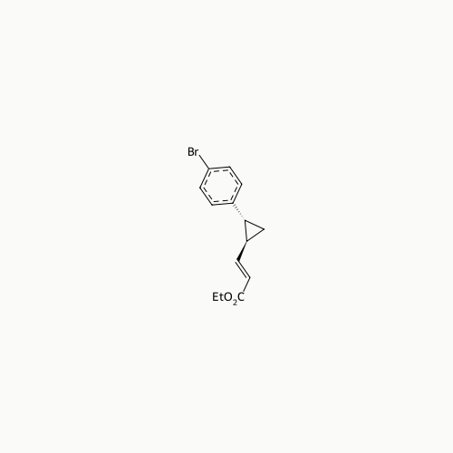 CCOC(=O)/C=C/[C@@H]1C[C@H]1c1ccc(Br)cc1